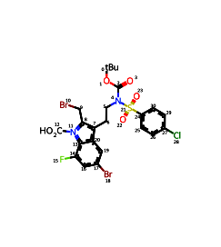 CC(C)(C)OC(=O)N(CCc1c(CBr)n(C(=O)O)c2c(F)cc(Br)cc12)S(=O)(=O)c1ccc(Cl)cc1